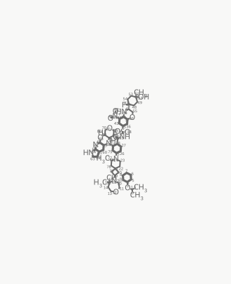 CC(C)Oc1ccccc1[C@@H]1COCCC(C)(C)N1C1CC2(CCN(c3ccc(C(=O)NS(=O)(=O)c4cc5c(c([N+](=O)[O-])c4)N[C@@H](C4(F)CCC(C)(O)CC4)CO5)c(N4c5cc6cc[nH]c6nc5O[C@H]5COCC[C@@H]54)c3)[C@H](C)C2)C1